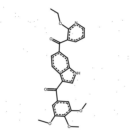 CCOc1ncccc1C(=O)c1ccc2c(C(=O)c3cc(OC)c(OC)c(OC)c3)c[nH]c2c1